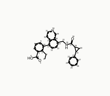 CCc1c(C(=O)O)cccc1-c1ccc(CNC(=O)C2CC2c2ccccc2)c2cnccc12